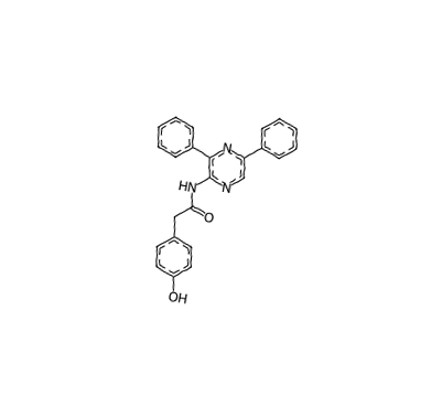 O=C(Cc1ccc(O)cc1)Nc1ncc(-c2ccccc2)nc1-c1ccccc1